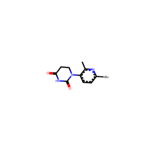 Cc1nc(C(C)(C)C)ccc1N1CCC(=O)NC1=O